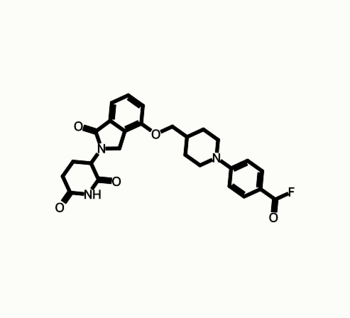 O=C1CCC(N2Cc3c(OCC4CCN(c5ccc(C(=O)F)cc5)CC4)cccc3C2=O)C(=O)N1